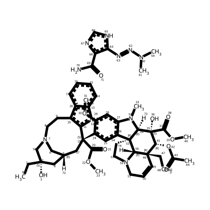 CC[C@]1(O)C[C@@H]2CN(CCc3c([nH]c4ccccc34)[C@@](C(=O)OC)(c3cc4c(cc3OC)N(C)[C@H]3[C@@](O)(C(=O)OC)[C@H](OC(C)=O)[C@]5(CC)C=CCN6CC[C@]43[C@@H]65)C2)C1.CN(C)N=Nc1[nH]cnc1C(N)=O